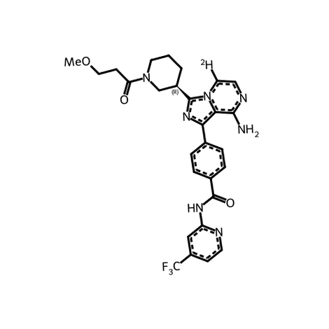 [2H]c1cnc(N)c2c(-c3ccc(C(=O)Nc4cc(C(F)(F)F)ccn4)cc3)nc([C@@H]3CCCN(C(=O)CCOC)C3)n12